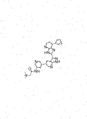 CN(C)CC(=O)Nc1cncc(-c2cnc3[nH]nc(-c4nc5c(-c6ccsc6)ccnc5[nH]4)c3c2)c1